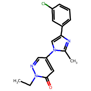 CCn1ncc(-n2cc(-c3cccc(Cl)c3)nc2C)cc1=O